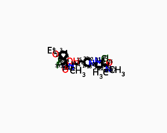 CCOc1cccc(C(O)(C(=O)N(C)CCCC2CCN(c3ccc(C(=O)N(C)C)c(Cl)n3)CC2)C(F)(F)I)c1